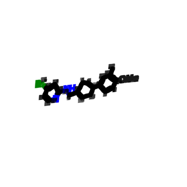 COc1ccc(C2CCC(CNc3cc(Br)ccn3)CC2)cc1C